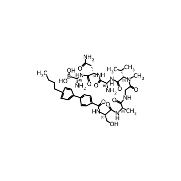 CCCCc1ccc(-c2ccc(C(=O)N[C@H](CO)C(=O)N[C@H](C)C(=O)NCC(=O)N(C)[C@H](C(=O)N[C@@H](N)C(=O)N[C@@H](CC(N)=O)C(=O)N[C@@H](N)B(O)O)C(C)C)cc2)cc1